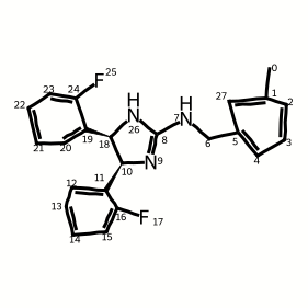 Cc1cccc(CNC2=N[C@@H](c3ccccc3F)[C@@H](c3ccccc3F)N2)c1